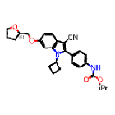 CC(C)OC(=O)Nc1ccc(-c2c(C#N)c3ccc(OC[C@H]4CCCO4)cc3n2C2CCC2)cc1